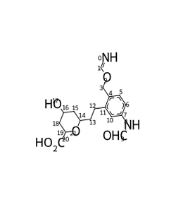 N=COCc1ccc(NC=O)cc1CCC1CC(O)CC(C(=O)O)O1